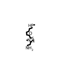 CPCCC1CCC(C2SN=C(CCN)N2C)O1